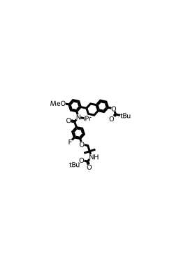 COc1ccc(C2CCc3cc(OC(=O)C(C)(C)C)ccc3C2)c(N(C(=O)c2ccc(OCC(C)(C)NC(=O)OC(C)(C)C)c(F)c2)C(C)C)c1